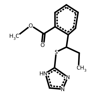 CCC(Sc1nnc[nH]1)c1ccccc1C(=O)OC